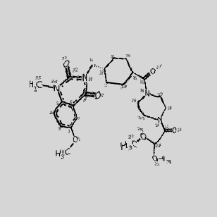 COc1ccc2c(c1)c(=O)n(C[C@H]1CC[C@H](C(=O)N3CCN(C(=O)C(C)OC)CC3)CC1)c(=O)n2C